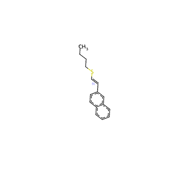 CCCCS/C=C/c1ccc2ccccc2c1